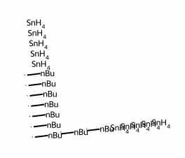 [CH2]CCCC.[CH2]CCCC.[CH2]CCCC.[CH2]CCCC.[CH2]CCCC.[CH2]CCCC.[CH2]CCCC.[CH2]CCCC.[CH2]CCCC.[SnH4].[SnH4].[SnH4].[SnH4].[SnH4].[SnH4].[SnH4].[SnH4].[SnH4].[SnH4]